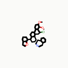 C1=Cc2ccccc2CC=N1.COc1ccc2c(c1OC)=C(Cl)Cc1c3c(ccc1=2)=C(c1cccc2ccoc12)CCC3